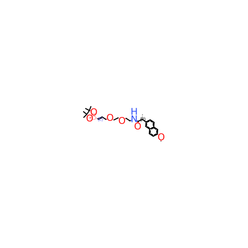 COc1ccc2cc([C@@H](C)C(=O)NCCOCCOC/C=C/B3OC(C)(C)C(C)(C)O3)ccc2c1